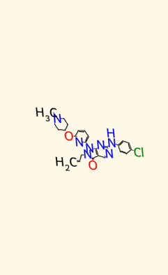 C=CCn1c(=O)c2cnc(Nc3ccc(Cl)cc3)nc2n1-c1cccc(OC2CCN(C)CC2)n1